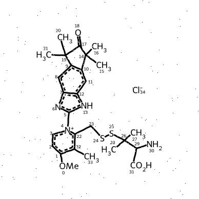 COc1cc[n+](-c2nc3cc4c(cc3[nH]2)C(C)(C)C(=O)C4(C)C)c(CSSC(C)(C)C(N)C(=O)O)c1C.[Cl-]